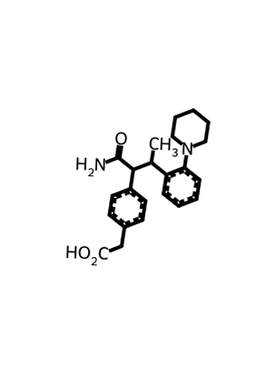 CC(c1ccccc1N1CCCCC1)C(C(N)=O)c1ccc(CC(=O)O)cc1